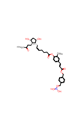 CCCCCCCC(=O)CC[C@@H]1[C@@H](C/C=C\CCCC(=O)Oc2ccc(/C=C/C(=O)OCc3ccc(CON(O)O)cc3)cc2OC)[C@@H](O)C[C@H]1O